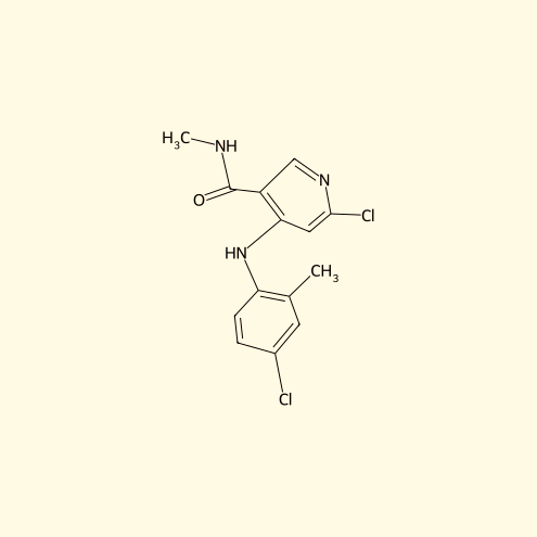 CNC(=O)c1cnc(Cl)cc1Nc1ccc(Cl)cc1C